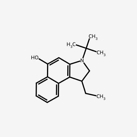 CCC1CN(C(C)(C)C)c2cc(O)c3ccccc3c21